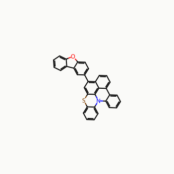 c1ccc2c(c1)oc1ccc(-c3cc4sc5ccccc5n5c6ccccc6c6cccc3c6c4-5)cc12